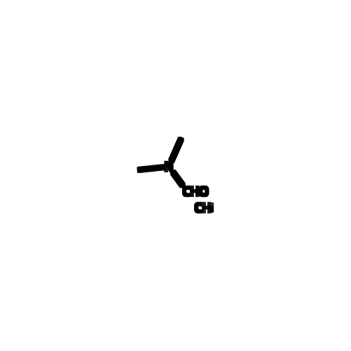 CN(C)C=O.[CH]